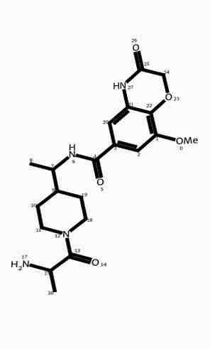 COc1cc(C(=O)NC(C)C2CCN(C(=O)C(C)N)CC2)cc2c1OCC(=O)N2